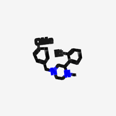 CCc1ccccc1C1CN(Cc2ccc(OC)cc2)CCN1C